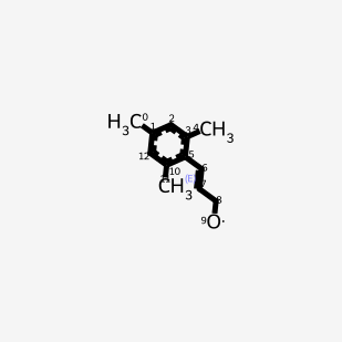 Cc1cc(C)c(/C=C/C[O])c(C)c1